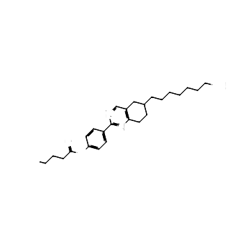 CCCCCCCCC1CCc2nc(-c3ccc(OC(=O)CCCC)cc3)ncc2C1